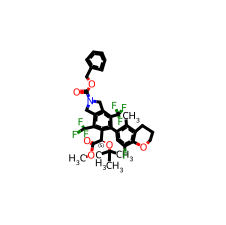 COC(=O)[C@@H](OC(C)(C)C)c1c(-c2cc(F)c3c(c2C)CCCO3)c(C(F)(F)F)c2c(c1C(F)(F)F)CN(C(=O)OCc1ccccc1)C2